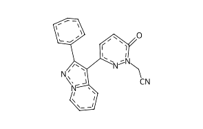 N#CCn1nc(-c2c(-c3ccccc3)nn3ccccc23)ccc1=O